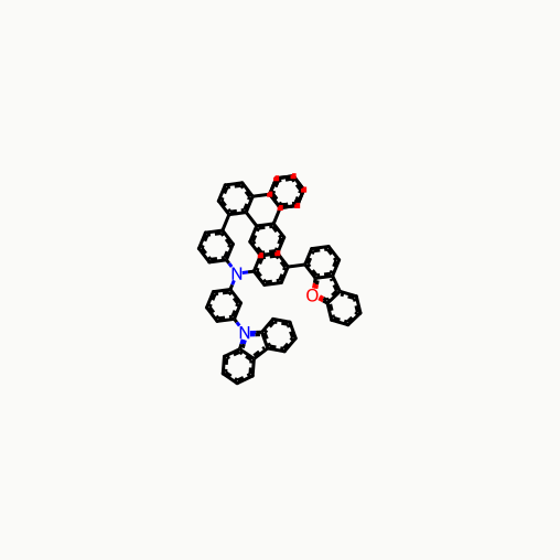 c1ccc(-c2ccccc2-c2c(-c3ccccc3)cccc2-c2cccc(N(c3ccc(-c4cccc5c4oc4ccccc45)cc3)c3cccc(-n4c5ccccc5c5ccccc54)c3)c2)cc1